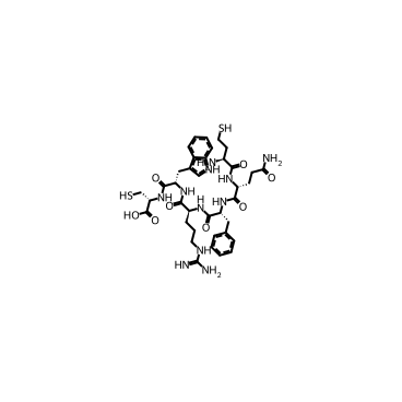 N=C(N)NCCC[C@H](NC(=O)[C@@H](Cc1ccccc1)NC(=O)[C@@H](CCC(N)=O)NC(=O)[C@@H](N)CCS)C(=O)N[C@@H](Cc1c[nH]c2ccccc12)C(=O)N[C@@H](CS)C(=O)O